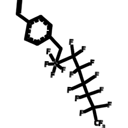 C=Cc1ccc(CS(F)(F)(F)(F)C(F)(F)C(F)(F)C(F)(F)C(F)(F)C(F)(F)C(F)(F)F)cc1